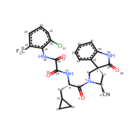 N#C[C@@H]1C[C@@]2(CN1C(=O)[C@H](CC1CC1)NC(=O)C(=O)Nc1c(Cl)cccc1C(F)(F)F)C(=O)Nc1ccccc12